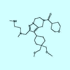 CNCCN(C)Cc1nn2c(c1C1CCC(COC)(COC)CC1)CN(C(=O)C1CCOCC1)CC2